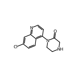 O=C1CNCCN1c1ccnc2cc(Cl)ccc12